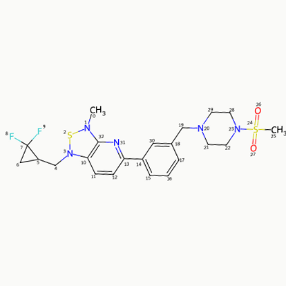 CN1SN(CC2CC2(F)F)c2ccc(-c3cccc(CN4CCN(S(C)(=O)=O)CC4)c3)nc21